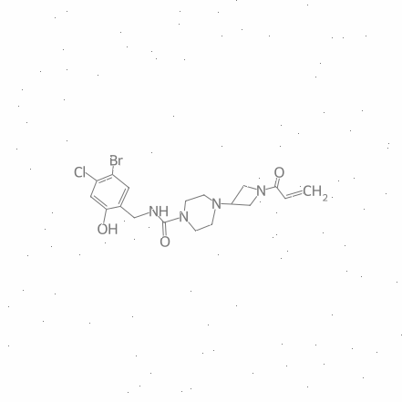 C=CC(=O)N1CC(N2CCN(C(=O)NCc3cc(Br)c(Cl)cc3O)CC2)C1